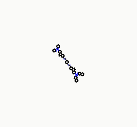 CC1(C)c2cc(/C=C/c3ccc(/C=C/c4ccc5c(c4)C(C)(C)c4cc(N(c6ccc7ccccc7c6)c6ccc7ccccc7c6)ccc4-5)cc3)ccc2-c2ccc(N(c3ccccc3)c3ccccc3)cc21